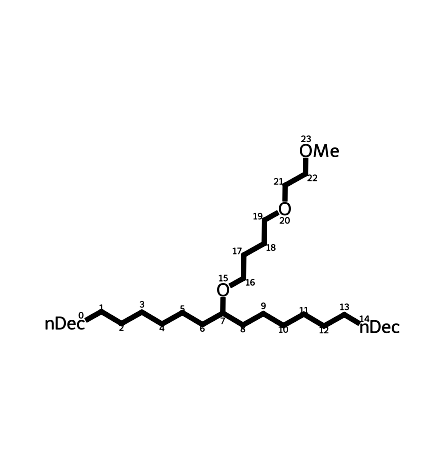 CCCCCCCCCCCCCCCCC(CCCCCCCCCCCCCCCC)OCCCCOCCOC